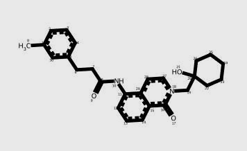 Cc1cccc(CCC(=O)Nc2cccc3c(=O)n(CC4(O)CCCCC4)ccc23)c1